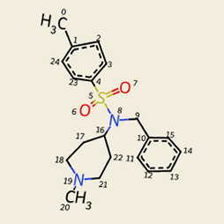 Cc1ccc(S(=O)(=O)N(Cc2ccccc2)C2CCN(C)CC2)cc1